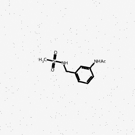 CC(=O)Nc1cccc(CNS(C)(=O)=O)c1